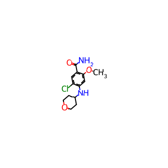 COc1cc(NC2CCOCC2)c(Cl)cc1C(N)=O